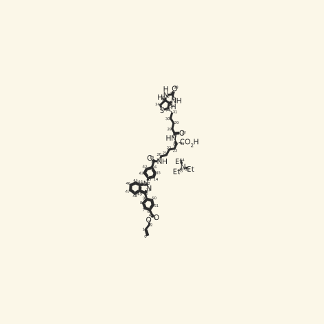 C=CCOC(=O)c1ccc(-c2nn(-c3ccc(C(=O)NCCCC[C@H](NC(=O)CCCC[C@@H]4SC[C@@H]5NC(=O)N[C@@H]54)C(=O)O)cc3)c3ccccc23)cc1.CCN(CC)CC